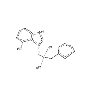 C[CH]CC(CCC)(Cc1ccccc1)Cc1c[nH]c2cccc(O)c12